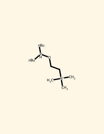 CCCC[PH-](CCCC)OCC[N+](C)(C)C